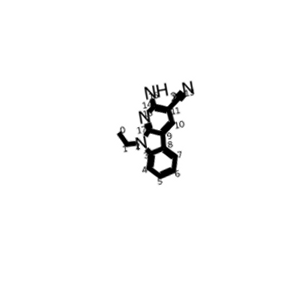 CCn1c2ccccc2c2cc(C#N)c(N)nc21